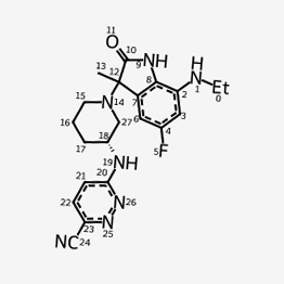 CCNc1cc(F)cc2c1NC(=O)C2(C)N1CCC[C@@H](Nc2ccc(C#N)nn2)C1